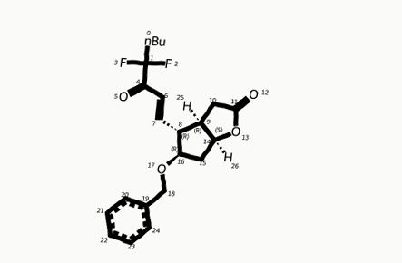 CCCCC(F)(F)C(=O)C=C[C@@H]1[C@H]2CC(=O)O[C@H]2C[C@H]1OCc1ccccc1